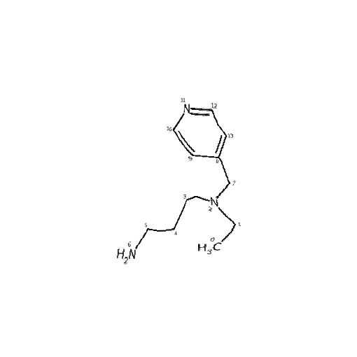 CCN(CCCN)Cc1ccncc1